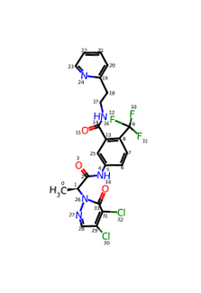 C[C@@H](C(=O)Nc1ccc(C(F)(F)F)c(C(=O)NCCc2ccccn2)c1)n1ncc(Cl)c(Cl)c1=O